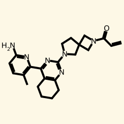 C=CC(=O)N1CC2(CCN(c3nc4c(c(-c5nc(N)ccc5C)n3)CCCC4)C2)C1